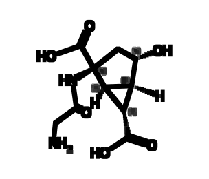 NCC(=O)N[C@@]1(C(=O)O)C[C@H](O)[C@H]2[C@H](C(=O)O)[C@H]21